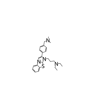 CCN(CC)CCCN1C(c2ccc(CN(C)C)cc2)=CN2c3ccccc3SC12